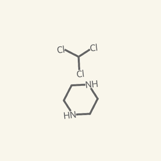 C1CNCCN1.ClC(Cl)Cl